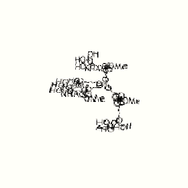 COSP(=O)(O)OCCCCCCOCC(COCCCOP(=O)(OCCCCOC1OC(CO)C(O)C(O)C1NC(C)=O)SOC)(COCCCOP(=O)(OCCCCOC1OC(CO)C(O)C(O)C1NC(C)=O)SOC)COCCCOP(=O)(OCCCCOC(OC(CO)[C@@H](C)O)[C@H](CO)NC(C)=O)SOC